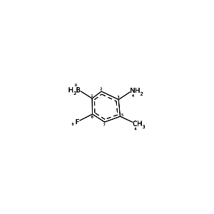 Bc1cc(N)c(C)cc1F